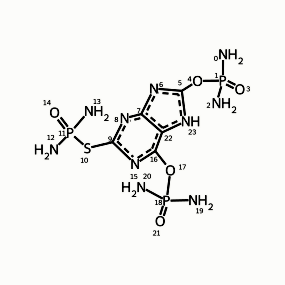 NP(N)(=O)Oc1nc2nc(SP(N)(N)=O)nc(OP(N)(N)=O)c2[nH]1